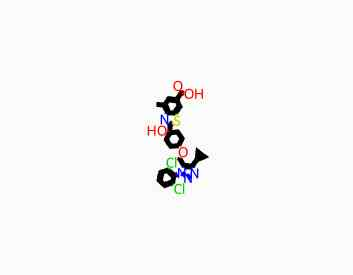 Cc1cc(C(=O)O)cc2sc(C3(O)CCC(OCc4c(C5CC5)nnn4-c4c(Cl)cccc4Cl)CC3)nc12